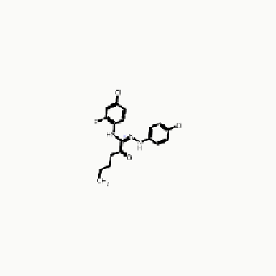 CCCCC(=O)/C(=N\Nc1ccc(Cl)cc1)Nc1ccc(Cl)cc1F